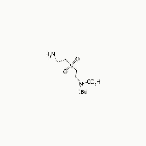 CC(C)(C)N(CCS(=O)(=O)CCN)C(=O)O